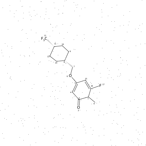 CC1C(=O)C=C(OC[C@H]2CC[C@@H](C(F)(F)F)CC2)C=C1F